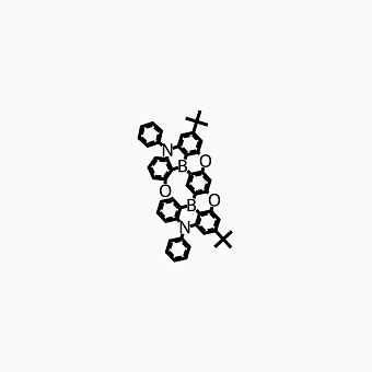 CC(C)(C)c1cc2c3c(c1)N(c1ccccc1)c1cccc4c1B3c1cc3c(cc1O2)Oc1cc(C(C)(C)C)cc2c1B3c1c(cccc1N2c1ccccc1)O4